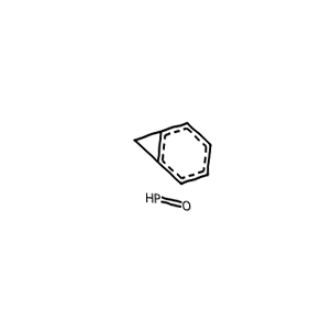 O=P.c1ccc2c(c1)C2